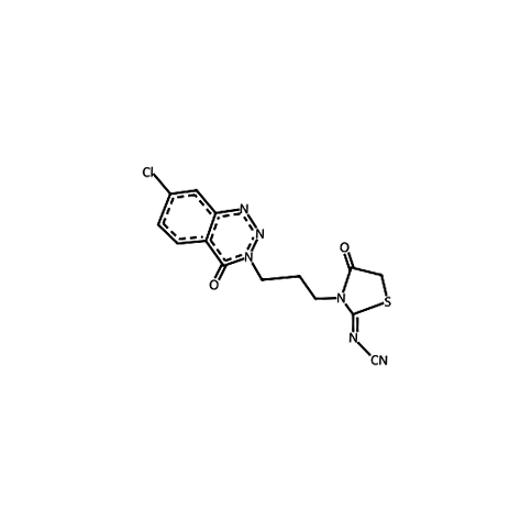 N#C/N=C1\SCC(=O)N1CCCn1nnc2cc(Cl)ccc2c1=O